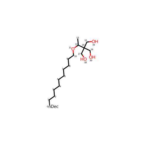 CCCCCCCCCCCCCCCCCCCCOC(C)C(CO)(CO)CO